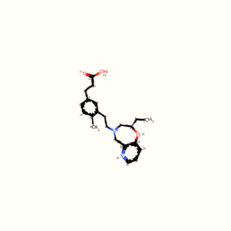 CC[C@@H]1CN(CCc2cc(CCC(=O)O)ccc2C)Cc2ncccc2O1